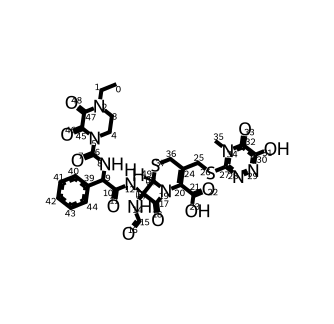 CCN1CCN(C(=O)NC(C(=O)N[C@]2(NC=O)C(=O)N3C(C(=O)O)=C(CSc4nnc(O)c(=O)n4C)CS[C@H]32)c2ccccc2)C(=O)C1=O